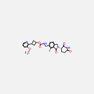 O=C1CC[C@H](N2Cc3ccc(CNC(=O)OC4CC(c5ncccc5OC(F)(F)F)C4)c(F)c3C2=O)C(=O)N1